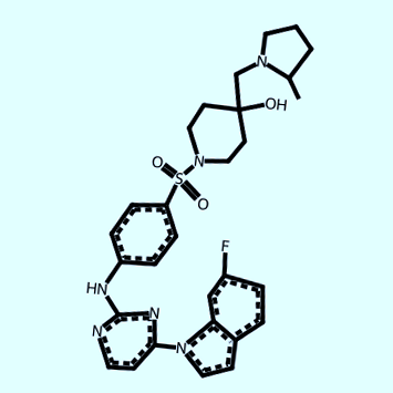 CC1CCCN1CC1(O)CCN(S(=O)(=O)c2ccc(Nc3nccc(-n4ccc5ccc(F)cc54)n3)cc2)CC1